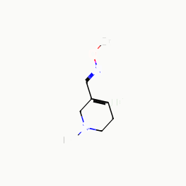 CCON=CC1=CCCN(C)C1.Cl